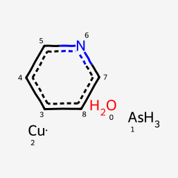 O.[AsH3].[Cu].c1ccncc1